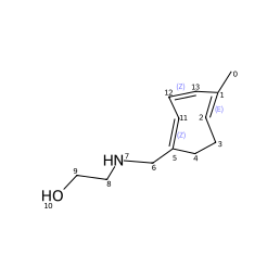 CC1=C\CC/C(CNCCO)=C/C=C\1